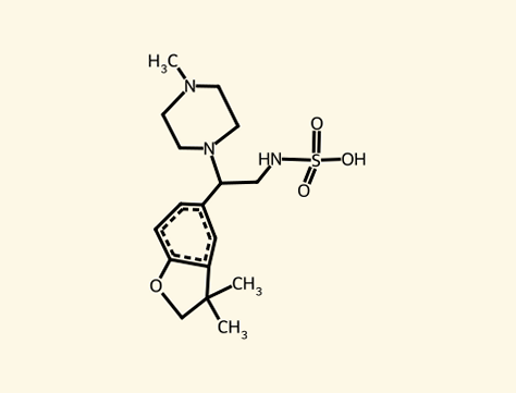 CN1CCN(C(CNS(=O)(=O)O)c2ccc3c(c2)C(C)(C)CO3)CC1